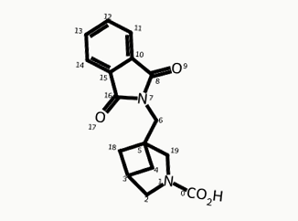 O=C(O)N1CC2CC(CN3C(=O)c4ccccc4C3=O)(C2)C1